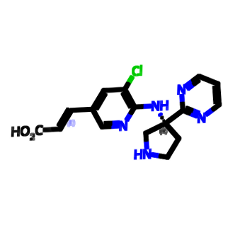 O=C(O)/C=C/c1cnc(N[C@]2(c3ncccn3)CCNC2)c(Cl)c1